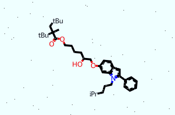 CC(C)CCCn1c(-c2ccccc2)cc2ccc(OCC(O)CCCCOC(=O)C(C)(CC(C)(C)C)C(C)(C)C)cc21